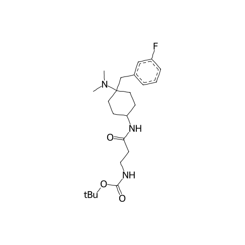 CN(C)C1(Cc2cccc(F)c2)CCC(NC(=O)CCNC(=O)OC(C)(C)C)CC1